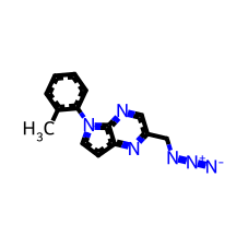 Cc1ccccc1-n1ccc2nc(CN=[N+]=[N-])cnc21